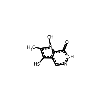 Cc1c(S)c2cn[nH]c(=O)c2n1C